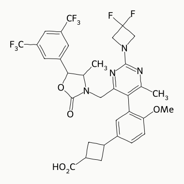 COc1ccc(C2CC(C(=O)O)C2)cc1-c1c(C)nc(N2CC(F)(F)C2)nc1CN1C(=O)OC(c2cc(C(F)(F)F)cc(C(F)(F)F)c2)C1C